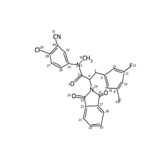 CN(C(=O)C(Cc1cc(F)cc(F)c1)N1C(=O)c2ccccc2C1=O)c1ccc(Cl)c(C#N)c1